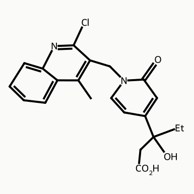 CCC(O)(CC(=O)O)c1ccn(Cc2c(Cl)nc3ccccc3c2C)c(=O)c1